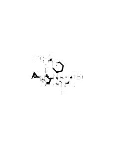 CC(C)(C)OC(=O)NS(=O)(=O)N(c1cnn(C2CC2)c1F)C1CCCN(C(=O)OC(C)(C)C)C1